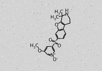 COc1cc(S(=O)(=O)c2ccc3c4c(oc3c2)C(C)(C)NCC4)c[n+]([O-])c1